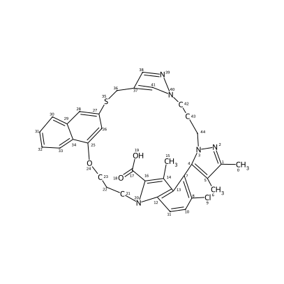 Cc1nn2c(c1C)-c1c(Cl)ccc3c1c(C)c(C(=O)O)n3CCCOc1cc(cc3ccccc13)SCc1cnn(c1)CCC2